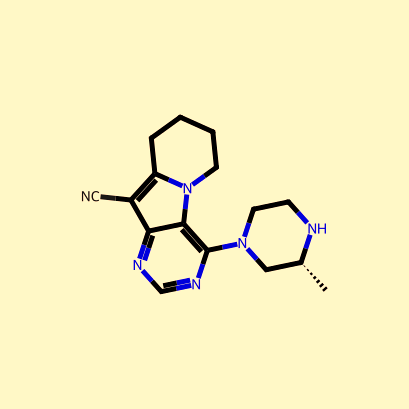 C[C@@H]1CN(c2ncnc3c(C#N)c4n(c23)CCCC4)CCN1